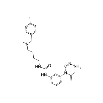 C=C(C)N(/N=N\N)c1cccc(NC(=O)NCCCCN(C)Cc2ccc(C)cc2)c1